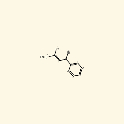 CCOC(=O)C(=CC(CC)c1ccccc1)CC